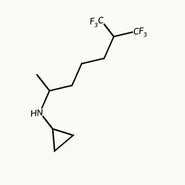 CC(CCCC(C(F)(F)F)C(F)(F)F)NC1CC1